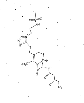 CS(=O)(=O)NCCn1nnnc1SCC1=C(C(=O)O)N2C(=O)[C@@H](NC(=O)C[S+]([O-])CC(F)(F)F)[C@H]2SC1